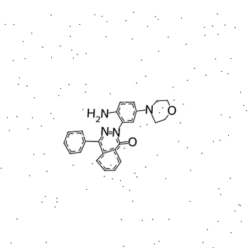 Nc1ccc(N2CCOCC2)cc1-n1nc(-c2ccccc2)c2ccccc2c1=O